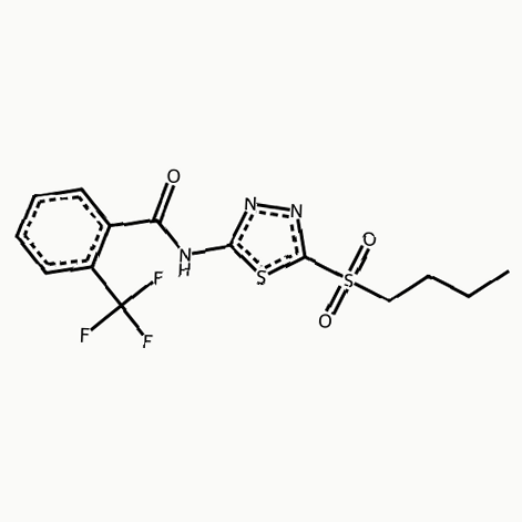 CCCCS(=O)(=O)c1nnc(NC(=O)c2ccccc2C(F)(F)F)s1